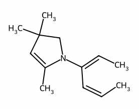 C/C=C\C(=C/C)N1CC(C)(C)C=C1C